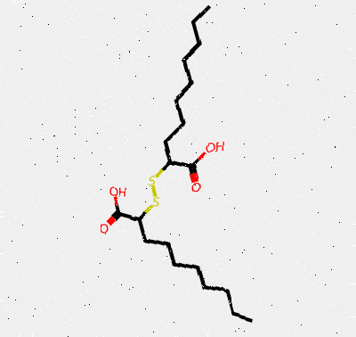 CCCCCCCCC(SSC(CCCCCCCC)C(=O)O)C(=O)O